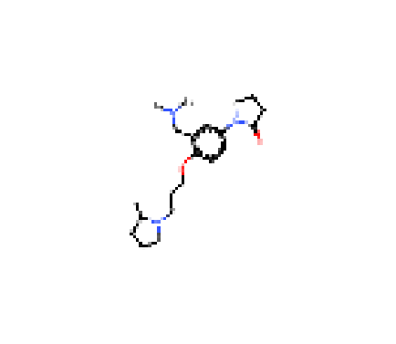 CCN(CC)Cc1cc(N2CCCC2=O)ccc1OCCCN1CCCC1C